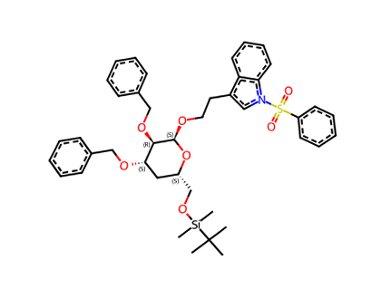 CC(C)(C)[Si](C)(C)OC[C@@H]1C[C@H](OCc2ccccc2)[C@@H](OCc2ccccc2)[C@@H](OCCc2cn(S(=O)(=O)c3ccccc3)c3ccccc23)O1